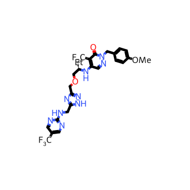 CC[C@@H](COCc1n[nH]c(CNc2ncc(C(F)(F)F)cn2)n1)Nc1cnn(Cc2ccc(OC)cc2)c(=O)c1C(F)(F)F